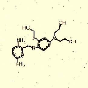 Nc1ccc(N)c(CNc2ccc(N(CCO)CCO)cc2CCO)c1